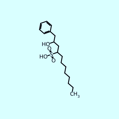 CCCCCCCCC(CC(O)Cc1ccccc1)S(=O)(=O)O